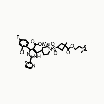 COC(=O)C1=C(C2CCN(S(=O)(=O)C3CC(C)(C(=O)OCC[Si](C)(C)C)C3)CC2)NC(c2nccs2)=NC1c1ccc(F)cc1Cl